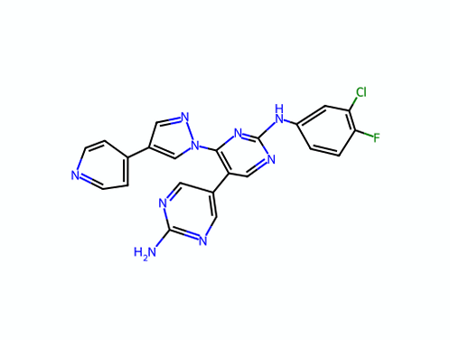 Nc1ncc(-c2cnc(Nc3ccc(F)c(Cl)c3)nc2-n2cc(-c3ccncc3)cn2)cn1